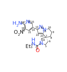 CCNC(=O)N1CC[C@]2(CCCn3nc(-c4cnc(N)c([N+](=O)[O-])c4)cc32)C1